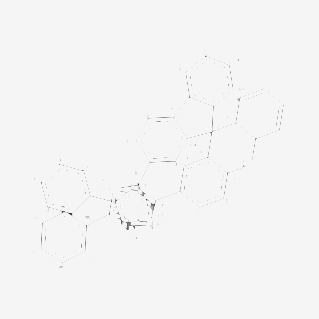 C1=CC2Oc3ccc(-c4nnc(-c5ccccc5)o4)cc3C3(c4ccccc4-c4ccc(-c5nnc(-c6ccccc6)o5)cc43)C2C=C1